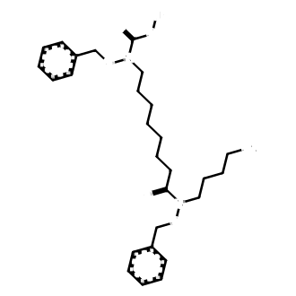 CC(C)(C)OC(=O)N(CCCCCCCC(=O)N(CCCCC#N)OCc1ccccc1)OCc1ccccc1